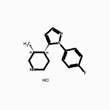 C[C@H]1CNCC[C@H]1c1ccnn1-c1ccc(F)cc1.Cl